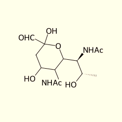 CC(=O)NC1C(O)CC(O)(C=O)OC1[C@@H](NC(C)=O)[C@H](C)O